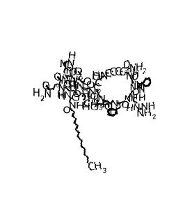 CCCCCCCCCCCCCCCC(=O)NCC(=O)NC(CO)C(=O)N[C@@H](CCC(N)=O)C(=O)N[C@@H](CC1CNC=N1)C(=O)N[C@@H](CO)C(=O)N[C@@H](CCCC)C(=O)N[C@H]1CCC(=O)NCCCC[C@@H](C(N)=O)NC(=O)[C@H](Cc2c[nH]c3ccccc23)NC(=O)[C@H](CCCNC(=N)N)NC(=O)[C@@H](Cc2ccccc2)NC(=O)[C@@H]2C[C@@H](O)CN2C1=O